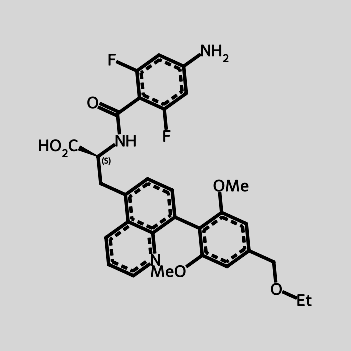 CCOCc1cc(OC)c(-c2ccc(C[C@H](NC(=O)c3c(F)cc(N)cc3F)C(=O)O)c3cccnc23)c(OC)c1